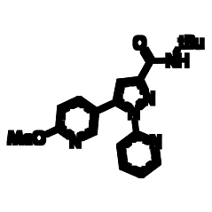 COc1ccc(-c2cc(C(=O)NC(C)(C)C)nn2-c2ccccn2)cn1